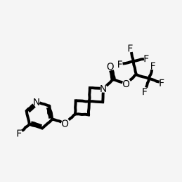 O=C(OC(C(F)(F)F)C(F)(F)F)N1CC2(CC(Oc3cncc(F)c3)C2)C1